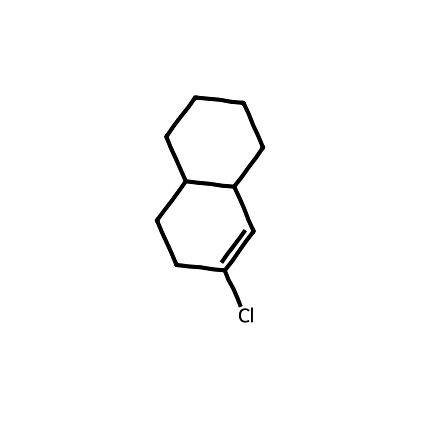 ClC1=CC2CCCCC2CC1